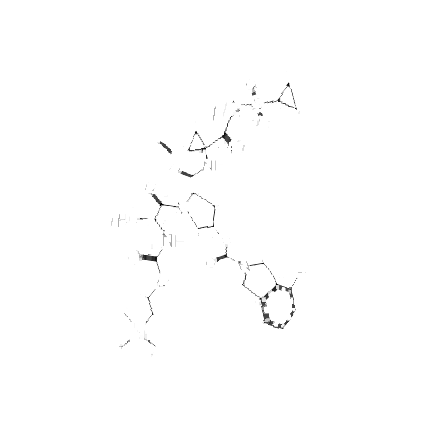 C=C[C@@H]1C[C@]1(NC(=O)[C@@H]1C[C@@H](OC(=O)N2Cc3cccc(F)c3C2)CN1C(=O)[C@@H](NC(=O)OCC[Si](C)(C)C)C(C)(C)C)C(=O)NS(=O)(=O)C1CC1